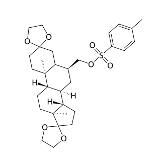 Cc1ccc(S(=O)(=O)OC[C@H]2C[C@@H]3[C@H](CC[C@@]4(C)[C@H]3CCC43OCCO3)[C@@]3(C)CCC4(CC23)OCCO4)cc1